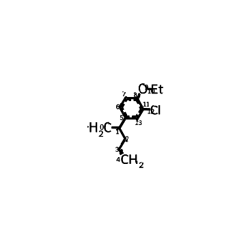 [CH2]C(CC=C)c1ccc(OCC)c(Cl)c1